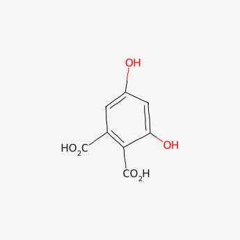 O=C(O)c1cc(O)cc(O)c1C(=O)O